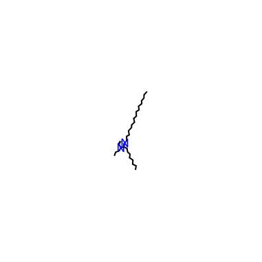 CCCCCCCCCCCCCCCCCN1C=CN(CCC)C1CCCCCCCC